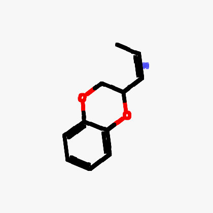 C/C=C\C1COc2ccccc2O1